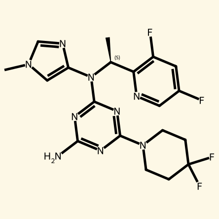 C[C@@H](c1ncc(F)cc1F)N(c1cn(C)cn1)c1nc(N)nc(N2CCC(F)(F)CC2)n1